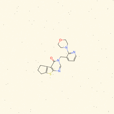 O=c1c2c3c(sc2ncn1Cc1cccnc1N1CCOCC1)CCC3